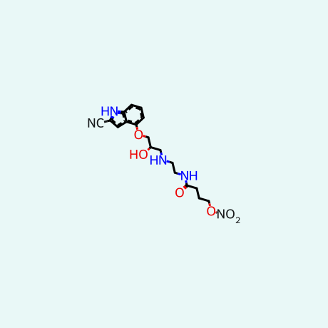 N#Cc1cc2c(OCC(O)CNCCNC(=O)CCCO[N+](=O)[O-])cccc2[nH]1